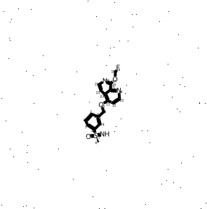 C[S@@](=N)(=O)c1cccc(COc2ccnc3c(OCF)nccc23)c1